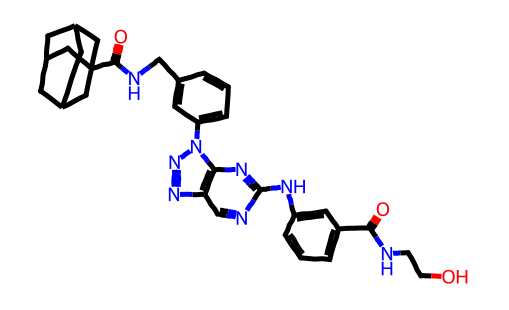 O=C(NCCO)c1cccc(Nc2ncc3nnn(-c4cccc(CNC(=O)C56CC7CC(CC(C7)C5)C6)c4)c3n2)c1